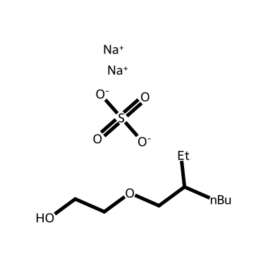 CCCCC(CC)COCCO.O=S(=O)([O-])[O-].[Na+].[Na+]